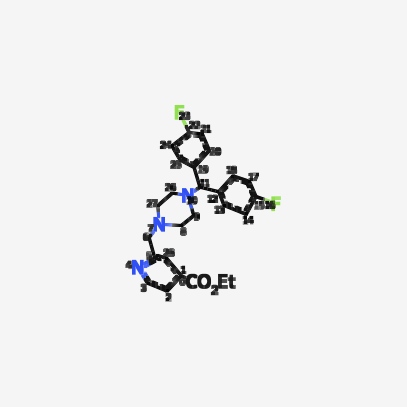 CCOC(=O)c1ccnc(CN2CCN(C(c3ccc(F)cc3)c3ccc(F)cc3)CC2)c1